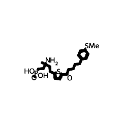 CSc1ccc(CCCCC(=O)c2ccc(CCC(C)(N)CCP(=O)(O)O)s2)cc1